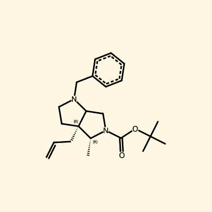 C=CC[C@]12CCN(Cc3ccccc3)C1CN(C(=O)OC(C)(C)C)[C@@H]2C